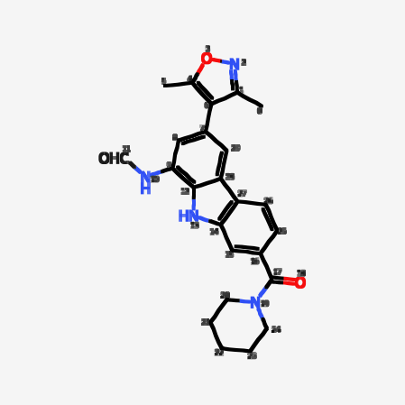 Cc1noc(C)c1-c1cc(NC=O)c2[nH]c3cc(C(=O)N4CCCCC4)ccc3c2c1